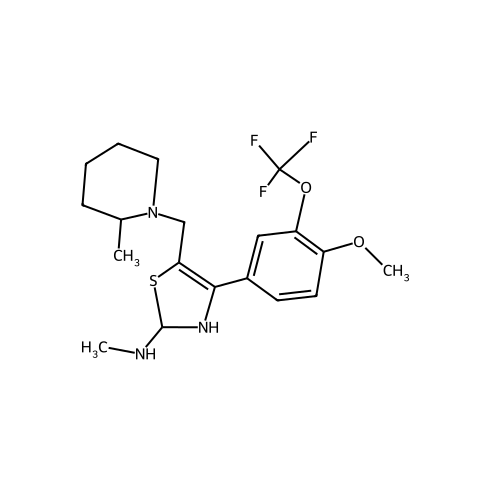 CNC1NC(c2ccc(OC)c(OC(F)(F)F)c2)=C(CN2CCCCC2C)S1